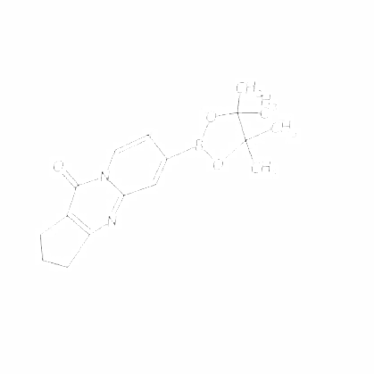 CC1(C)OB(c2ccn3c(=O)c4c(nc3c2)CCC4)OC1(C)C